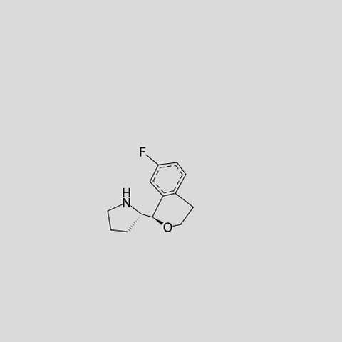 Fc1ccc2c(c1)[C@H]([C@@H]1CCCN1)OCC2